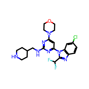 FC(F)c1nc2ccc(Cl)cc2n1-c1cc(N2CCOCC2)nc(NCC2CCNCC2)n1